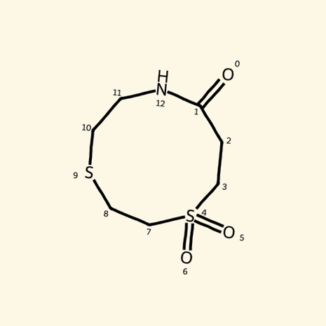 O=C1CCS(=O)(=O)CCSCCN1